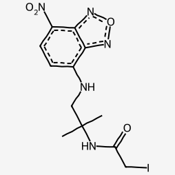 CC(C)(CNc1ccc([N+](=O)[O-])c2nonc12)NC(=O)CI